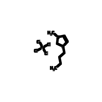 CCCCN1C=CN(C)C1.[Cl][Fe]([Cl])([Cl])[Cl]